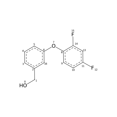 OCc1cccc(Oc2ccc(F)cc2F)c1